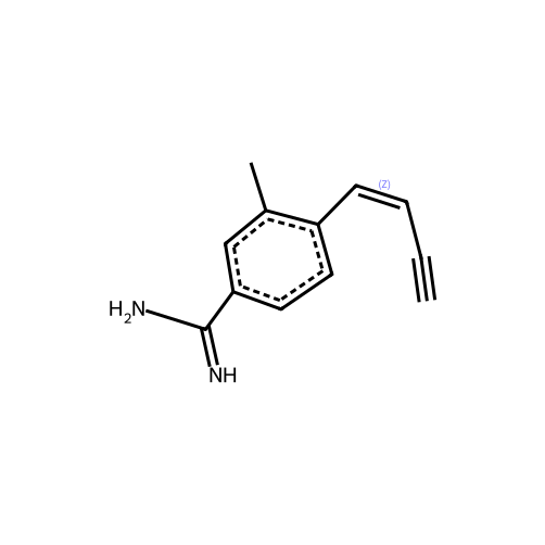 C#C/C=C\c1ccc(C(=N)N)cc1C